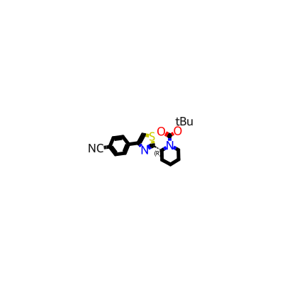 CC(C)(C)OC(=O)N1CCCC[C@@H]1c1nc(-c2ccc(C#N)cc2)cs1